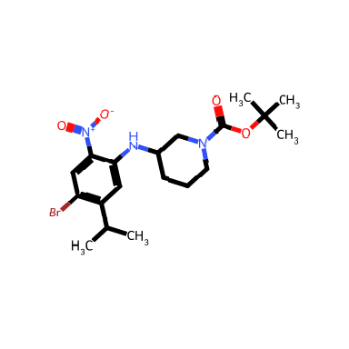 CC(C)c1cc(NC2CCCN(C(=O)OC(C)(C)C)C2)c([N+](=O)[O-])cc1Br